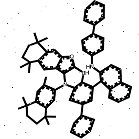 Cc1cc2c(cc1N1c3cc(-c4ccccc4)cc(-c4c(Nc5ccc(-c6ccccc6)cc5)ccc5ccccc45)c3Bc3oc4cc5c(cc4c31)C(C)(C)CCC5(C)C)C(C)(C)CCC2(C)C